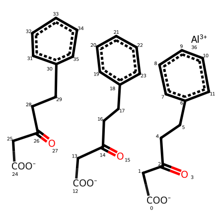 O=C([O-])CC(=O)CCc1ccccc1.O=C([O-])CC(=O)CCc1ccccc1.O=C([O-])CC(=O)CCc1ccccc1.[Al+3]